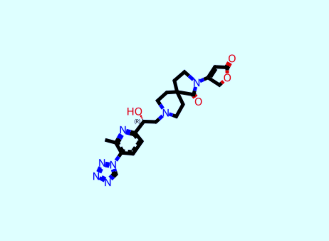 Cc1nc([C@H](O)CN2CCC3(CC2)CCN(C2=CC(=O)OC2)C3=O)ccc1-n1cnnn1